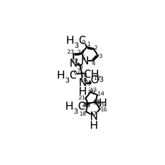 Cc1cccn2c(C(C)(C)NC(=O)[C@@H]3C[C@@H]4CNC[C@]4(C)C3)ncc12